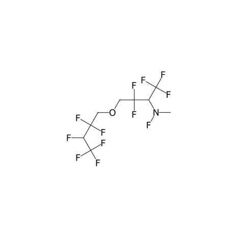 CN(F)C(C(F)(F)F)C(F)(F)COCC(F)(F)C(F)C(F)(F)F